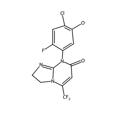 [O]c1cc(N2C(=O)C=C(C(F)(F)F)N3CCN=C32)c(F)cc1Cl